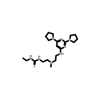 CCNC(=S)NCCN(C)CCNc1cc(N2CCCC2)nc(N2CCCC2)n1